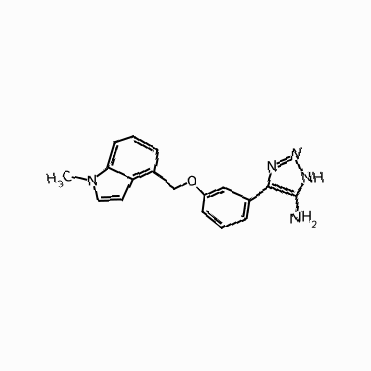 Cn1ccc2c(COc3cccc(-c4nn[nH]c4N)c3)cccc21